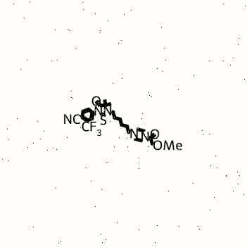 COCC(=O)N1CCN(CCCCCCN2C(=S)N(c3ccc(C#N)c(C(F)(F)F)c3)C(=O)C2(C)C)CC1